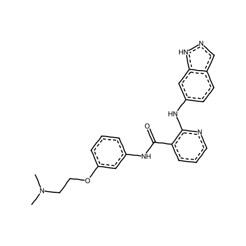 CN(C)CCOc1cccc(NC(=O)c2cccnc2Nc2ccc3cn[nH]c3c2)c1